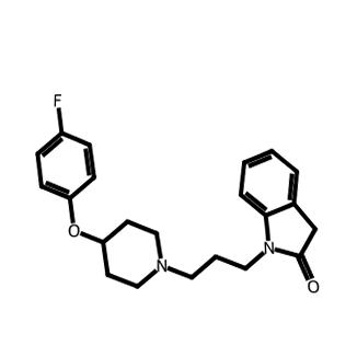 O=C1Cc2ccccc2N1CCCN1CCC(Oc2ccc(F)cc2)CC1